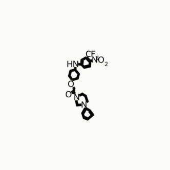 O=C(COC1CCC(Nc2ccc([N+](=O)[O-])c(C(F)(F)F)c2)CC1)N1CCCN(c2ccccc2)CC1